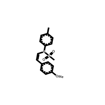 COc1ccc(/C=C\N(c2ccc(C)cc2)S(C)(=O)=O)cc1